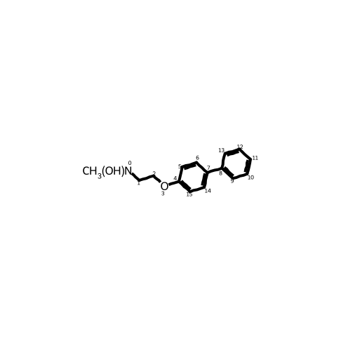 CN(O)CCOc1ccc(-c2ccccc2)cc1